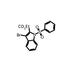 CCOC(=O)c1c(Br)c2ccccc2n1S(=O)(=O)c1ccccc1